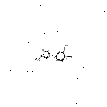 CC(=O)n1cc(-c2ccc(C)c(F)c2)cn1